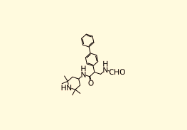 CC1(C)CC(NC(=O)C(CNC=O)c2ccc(-c3ccccc3)cc2)CC(C)(C)N1